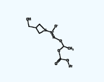 CC(C)OC(=O)OC(C)ON=[N+]([O-])N1CC(CO)C1